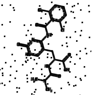 CN(C)C(=O)NC(Cc1c[nH]c(=O)nc1NC(=O)c1c(Cl)cccc1Cl)C(=O)O